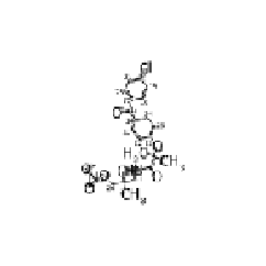 CC(C)(CNC(=O)C(C)(C)Oc1ccc(C(=O)c2ccc(Cl)cc2)cc1)CO[N+](=O)[O-]